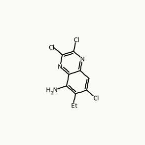 CCc1c(Cl)cc2nc(Cl)c(Cl)nc2c1N